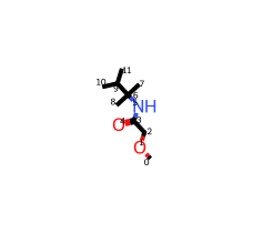 COCC(=O)NC(C)(C)C(C)C